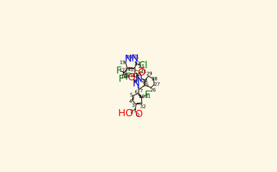 O=C(O)c1ccc(-c2nn(S(=O)(=O)c3c(C(F)(F)F)cnnc3Cl)c3c2CCCC3)c(F)c1